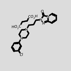 O=C(O)CCC(=O)O.O=c1n(CCCN2CCN(c3cccc(Cl)c3)CC2)nc2ccccn12